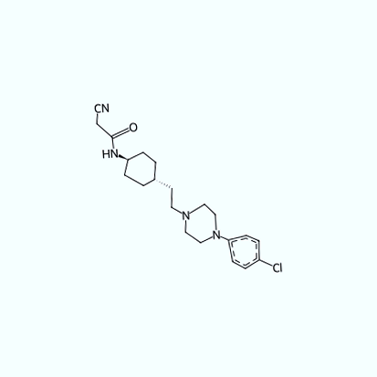 N#CCC(=O)N[C@H]1CC[C@H](CCN2CCN(c3ccc(Cl)cc3)CC2)CC1